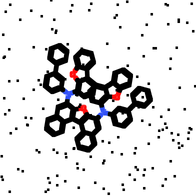 c1ccc(-c2cccc(N(c3cccc4c3oc3ccccc34)c3cc4ccccc4c4c3oc3c(N(c5cccc(-c6ccccc6)c5)c5cccc6c5oc5ccccc56)cc5ccccc5c34)c2)cc1